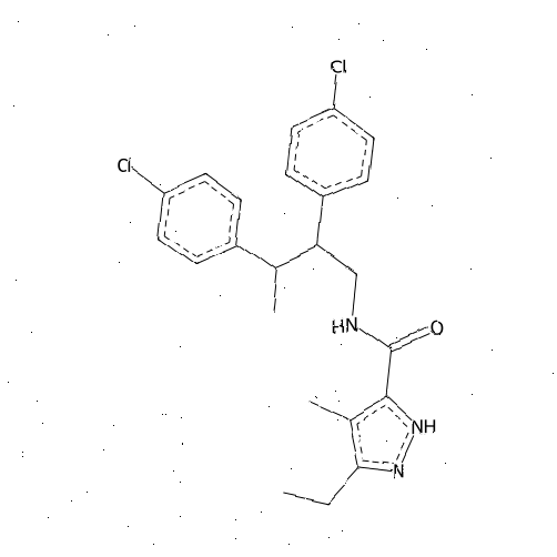 CCc1n[nH]c(C(=O)NCC(c2ccc(Cl)cc2)C(C)c2ccc(Cl)cc2)c1C